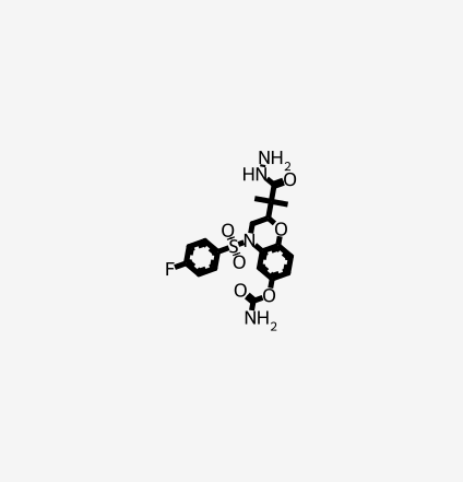 CC(C)(C(=O)NN)C1CN(S(=O)(=O)c2ccc(F)cc2)c2cc(OC(N)=O)ccc2O1